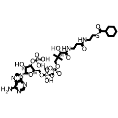 CC(C)(COP(=O)(O)OP(=O)(O)OC[C@H]1O[C@@H](n2cnc3c(N)ncnc32)[C@H](O)[C@@H]1OP(=O)(O)O)[C@@H](O)C(=O)NCCC(=O)NCCSC(=O)C1CCCCC1